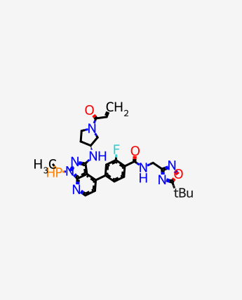 C=CC(=O)N1CC[C@@H](Nc2nn(PC)c3nccc(-c4ccc(C(=O)NCc5noc(C(C)(C)C)n5)c(F)c4)c23)C1